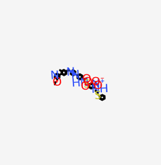 CCOc1cncc(-c2ccc(CN3CCN(c4ccc(C(=O)NS(=O)(=O)c5ccc(NCCSc6ccccc6)c([N+](=O)[O-])c5)cc4)CC3)cc2C)c1